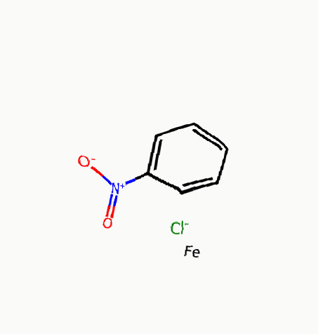 O=[N+]([O-])c1ccccc1.[Cl-].[Fe]